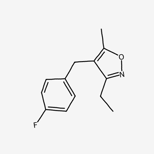 CCc1noc(C)c1Cc1ccc(F)cc1